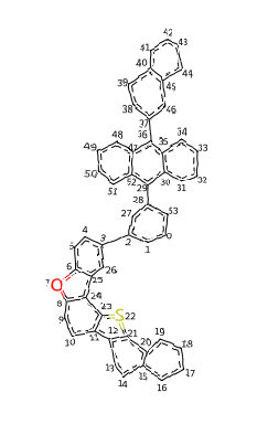 c1cc(-c2ccc3oc4ccc5c6ccc7ccccc7c6sc5c4c3c2)cc(-c2c3ccccc3c(-c3ccc4ccccc4c3)c3ccccc23)c1